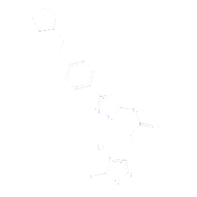 C=C(CSc1nnc(CC)n1CC)Nc1nnc(-c2ccc(OCC3CCCO3)cc2)s1